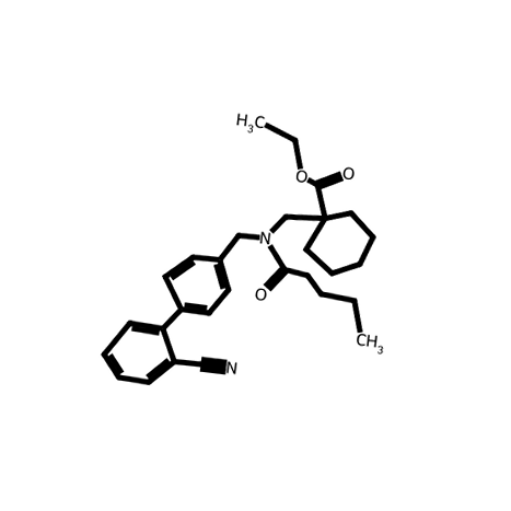 CCCCC(=O)N(Cc1ccc(-c2ccccc2C#N)cc1)CC1(C(=O)OCC)CCCCC1